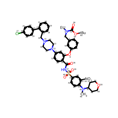 CCN(Cc1cccc(Oc2cc(N3CCN(Cc4ccccc4-c4ccc(Cl)cc4)CC3)ccc2C(=O)NS(=O)(=O)c2ccc(N(C)C3CCOCC3)c([N+](=O)[O-])c2)c1)C(=O)OC(C)(C)C